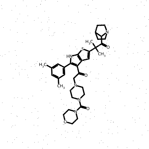 Cc1cc(C)cc(-c2[nH]c3sc(C(C)(C)C(=O)C4C5CCN4CC5)cc3c2C(=O)CN2CCN(C(=O)N3CCOCC3)CC2)c1